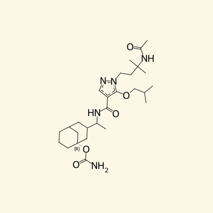 CC(=O)NC(C)(C)CCn1ncc(C(=O)NC(C)C2CC3CCC[C@@](OC(N)=O)(C3)C2)c1OCC(C)C